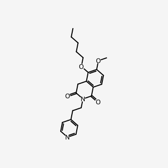 CCCCCOc1c(OC)ccc2c1CC(=O)N(CCc1ccncc1)C2=O